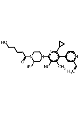 C=Cc1cc(-c2c(C3CC3)nc(N3CCN(C(=O)/C=C/CCO)[C@H](C(C)C)C3)c(C#N)c2C)ccn1